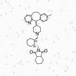 Cc1ccc2c(c1)CCc1cccnc1C2=C1CCN(C[C@@H]2CCCC[C@H]2CN2C(=O)C3CCCCC3C2=O)CC1